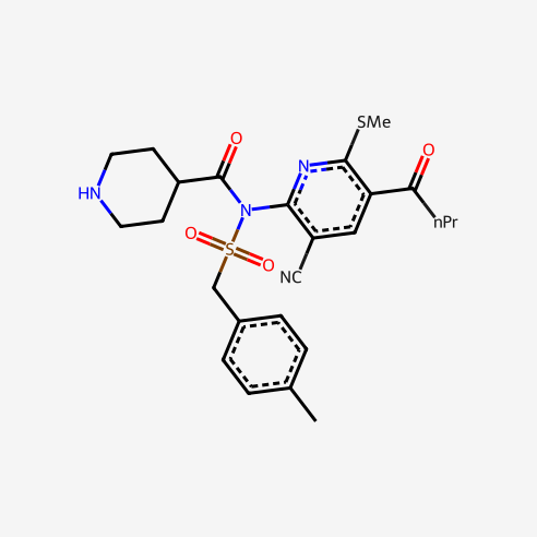 CCCC(=O)c1cc(C#N)c(N(C(=O)C2CCNCC2)S(=O)(=O)Cc2ccc(C)cc2)nc1SC